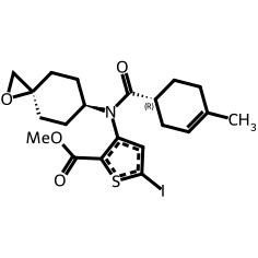 COC(=O)c1sc(I)cc1N(C(=O)[C@H]1CC=C(C)CC1)[C@H]1CC[C@@]2(CC1)CO2